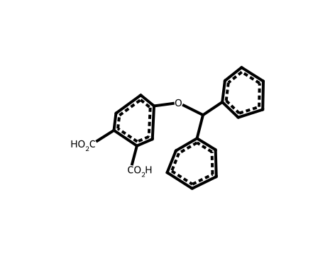 O=C(O)c1ccc(OC(c2ccccc2)c2ccccc2)cc1C(=O)O